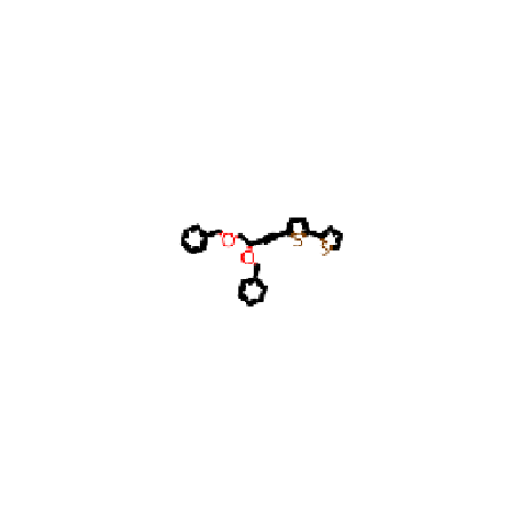 C(#CC(COCc1ccccc1)OCc1ccccc1)c1ccc(-c2cccs2)s1